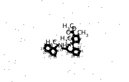 COC(=O)c1c(C)ccc(N2CC(CN[C@H](C)c3cccc4ccccc34)Cc3ccccc32)c1C